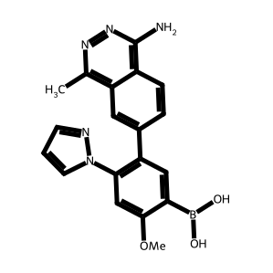 COc1cc(-n2cccn2)c(-c2ccc3c(N)nnc(C)c3c2)cc1B(O)O